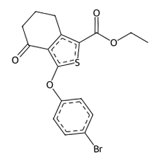 CCOC(=O)c1sc(Oc2ccc(Br)cc2)c2c1CCCC2=O